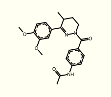 COc1ccc(C2=NN(C(=O)c3ccc(NC(C)=O)cc3)CCC2C)cc1OC